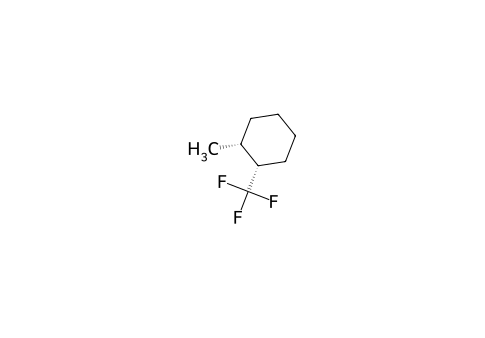 C[C@@H]1CCCC[C@@H]1C(F)(F)F